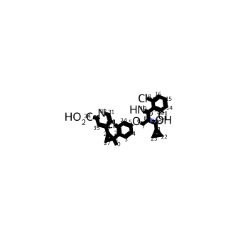 CC1(c2ccc(OC/C(C(=N)c3c(Cl)cccc3Cl)=C(/O)C3CC3)cc2Cl)CC1c1ccnc(C(=O)O)c1